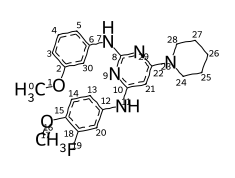 COc1cccc(Nc2nc(Nc3ccc(OC)c(F)c3)cc(N3CCCCC3)n2)c1